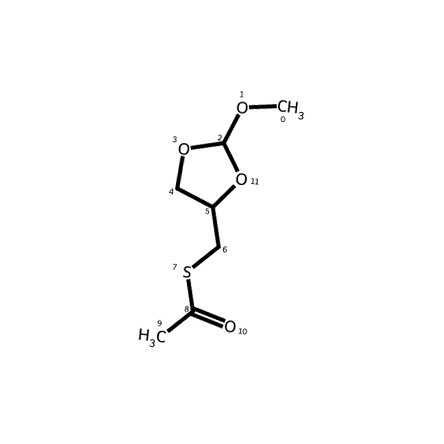 COC1OCC(CSC(C)=O)O1